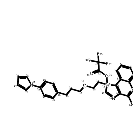 Nc1nc2ccccc2c2c1N=C[N+]2(CCOCCCc1ccc(-n2cccc2)cc1)OC(=O)C(F)(F)F